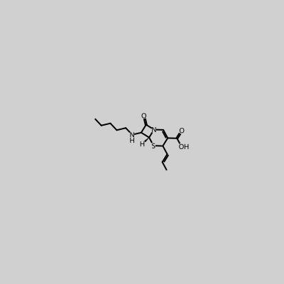 CC=CC1S[C@@H]2C(NCCCCC)C(=O)N2C=C1C(=O)O